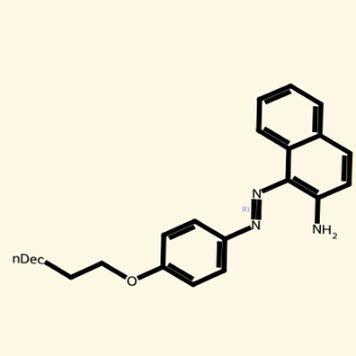 CCCCCCCCCCCCOc1ccc(/N=N/c2c(N)ccc3ccccc23)cc1